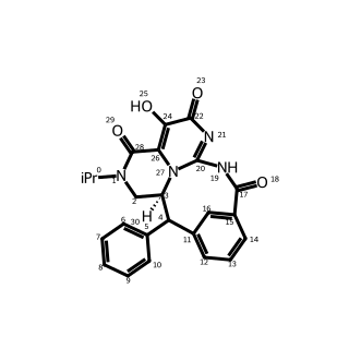 CC(C)N1C[C@@H]2C(c3ccccc3)c3cccc(c3)C(=O)Nc3nc(=O)c(O)c(n32)C1=O